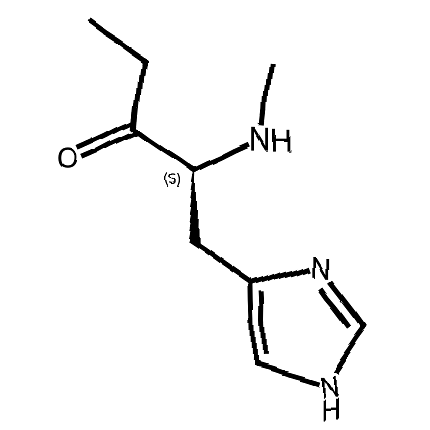 CCC(=O)[C@H](Cc1c[nH]cn1)NC